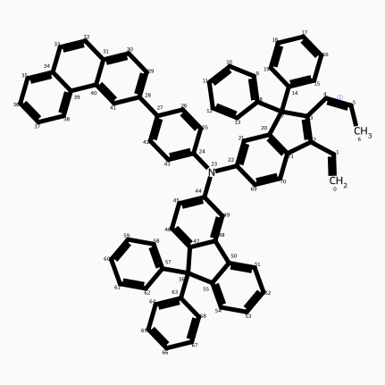 C=CC1=C(/C=C\C)C(c2ccccc2)(c2ccccc2)c2cc(N(c3ccc(-c4ccc5ccc6ccccc6c5c4)cc3)c3ccc4c(c3)-c3ccccc3C4(c3ccccc3)c3ccccc3)ccc21